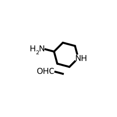 CC=O.NC1CCNCC1